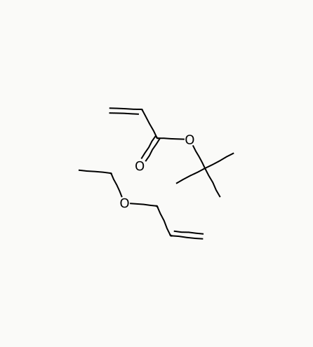 C=CC(=O)OC(C)(C)C.C=CCOCC